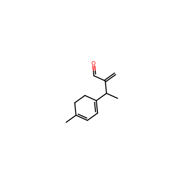 C=C(C=O)C(C)C1=CC=C(C)CC1